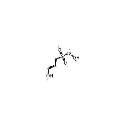 O=S(=O)(CC=CO)OO